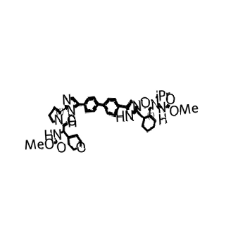 COC(=O)NC(C(=O)N1CCC[C@H]1c1ncc(-c2ccc(-c3ccc(-c4cnc(C5CCCC[C@@H]5C(=O)N(NC(=O)OC)C(C)C)[nH]4)cc3)cc2)[nH]1)C1CCOCC1